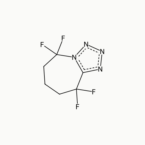 FC1(F)CCCC(F)(F)n2nnnc21